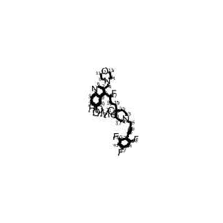 COc1ccc2ncc(CN3CCOCC3)c(C(F)CCC3(C(=O)O)CCN(CC#Cc4c(F)cc(F)cc4F)CC3)c2c1